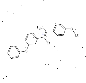 CCOc1ccc(/C(=C(\CC)c2cccc(Oc3ccccc3)c2)C(F)(F)F)cc1